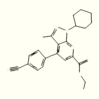 CCOC(=O)c1cc(-c2ccc(C#N)cc2)c2c(O)nn(C3CCCCC3)c2n1